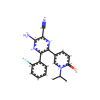 CC(C)n1cc(-c2nc(C#N)c(N)nc2-c2ccccc2F)ccc1=O